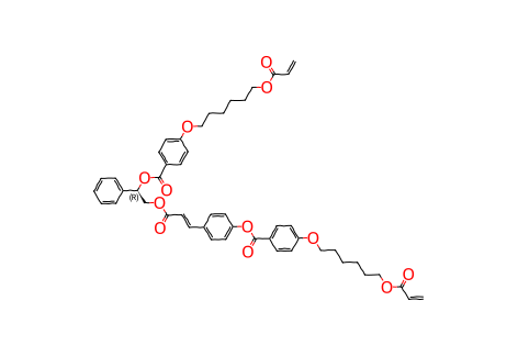 C=CC(=O)OCCCCCCOc1ccc(C(=O)Oc2ccc(C=CC(=O)OC[C@H](OC(=O)c3ccc(OCCCCCCOC(=O)C=C)cc3)c3ccccc3)cc2)cc1